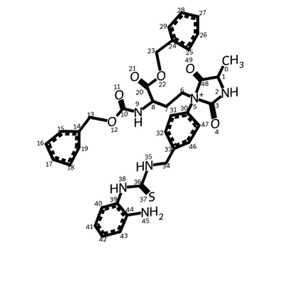 CC1NC(=O)[N+](CCC(NC(=O)OCc2ccccc2)C(=O)OCc2ccccc2)(c2ccc(CNC(=S)Nc3ccccc3N)cc2)C1=O